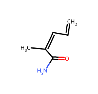 C=CC=C(C)C(N)=O